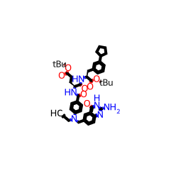 C#CCN(Cc1ccc2nc(N)[nH]c(=O)c2c1)c1ccc(C(=O)N[C@@H](CCC(=O)OC(C)(C)C)C(=O)N[C@@H](Cc2cccc(C3CCCC3)c2)C(=O)OC(C)(C)C)cc1